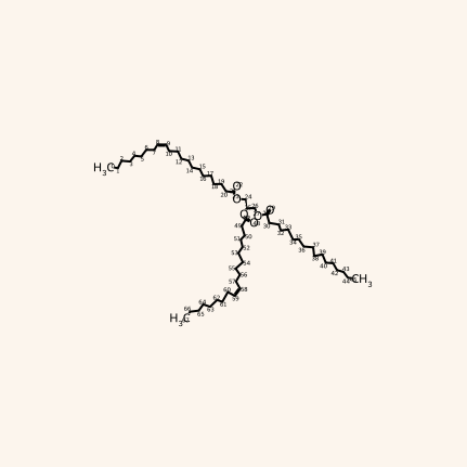 CCCCCCCC/C=C\CCCCCCCCCCCC(=O)OC[C@@H](COC(=O)CCCCCCCCCCCCCCCC)OC(=O)CCCCCCCCC/C=C\CCCCCCCC